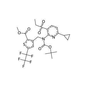 CCS(=O)(=O)c1ccc(C2CC2)nc1N(Cc1cc(C(F)(F)C(F)(F)F)sc1C(=O)OC)C(=O)OC(C)(C)C